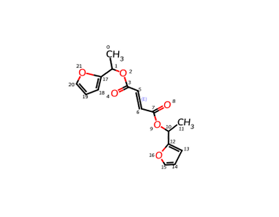 CC(OC(=O)/C=C/C(=O)OC(C)c1ccco1)c1ccco1